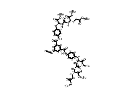 CC(C)(C)OC(=O)CC[C@H](NC(=O)N[C@@H](Cc1ccc(NC(=O)c2cc(N=[N+]=[N-])cc(C(=O)Nc3ccc(C[C@H](NC(=O)N[C@@H](CCC(=O)OC(C)(C)C)C(=O)OC(C)(C)C)C(=O)OC(C)(C)C)cc3)c2)cc1)C(=O)OC(C)(C)C)C(=O)OC(C)(C)C